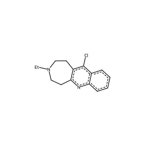 CCN1CCc2nc3ccccc3c(Cl)c2CC1